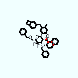 Cc1cc(OCc2ccccc2)c([C@@H]2O[C@H](COCc3ccccc3)C(F)(F)[C@H](OCc3ccccc3)[C@H]2OCc2ccccc2)cc1Cc1ccc2c(c1)CC2